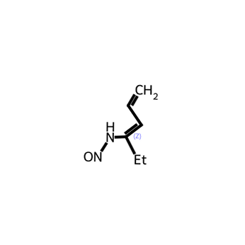 C=C/C=C(/CC)NN=O